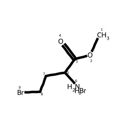 Br.COC(=O)C(N)CCBr